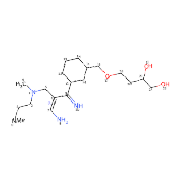 CNCCN(C)C/C(=C/N)C(=N)C1CCCC(COCCC(O)CO)C1